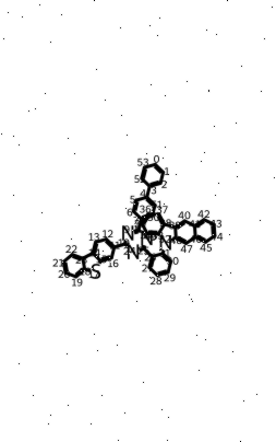 c1ccc(-c2ccc(-c3nc(-c4ccc5c(c4)sc4ccccc45)nc(-c4ccccc4-n4c5ccccc5c5cc6ccccc6cc54)n3)cc2)cc1